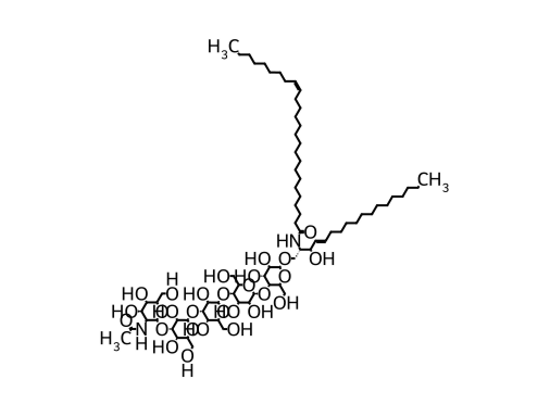 CCCCCCCC/C=C\CCCCCCCCCCCCCCCC(=O)N[C@@H](CO[C@@H]1OC(CO)[C@@H](O[C@@H]2OC(CO)[C@H](O[C@@H]3OC(CO)[C@H](O)[C@H](O[C@H]4OC(CO)[C@H](O)[C@H](O[C@@H]5OC(CO)[C@H](O)[C@H](O)C5NC(C)=O)C4O)C3O)[C@H](O)C2O)[C@H](O)C1O)[C@H](O)/C=C/CCCCCCCCCCCCC